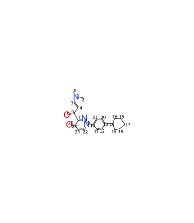 CN(C)C=CC(=O)c1nn(-c2ccc(C3CCCCC3)cc2)ccc1=O